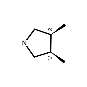 C[C@@H]1C[N]C[C@@H]1C